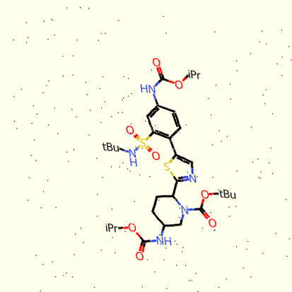 CC(C)OC(=O)Nc1ccc(-c2cnc(C3CCC(NC(=O)OC(C)C)CN3C(=O)OC(C)(C)C)s2)c(S(=O)(=O)NC(C)(C)C)c1